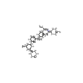 C=CN(/N=C(\N)N1CCN(C)CC1)c1ccc(Nc2nccc(-c3cc(F)cc(N4CCOCC4)c3)n2)cc1